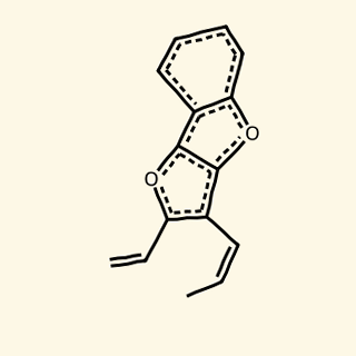 C=Cc1oc2c(oc3ccccc32)c1/C=C\C